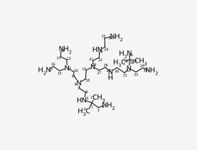 CC(C)(CN)NCCN(CCN(CCN)CCN)CCN(CCNCCN)CCNCCN(CCN)C(C)(C)N